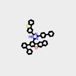 c1ccc(-c2ccc(C3=NC(c4ccc5sc6ccccc6c5c4)NC(c4cc(-c5ccccc5-c5ccccc5)cc5oc6cc7ccccc7cc6c45)=N3)cc2)cc1